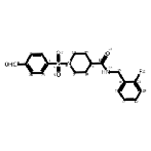 O=Cc1ccc(S(=O)(=O)N2CCC(C(=O)NCc3ccccc3F)CC2)cc1